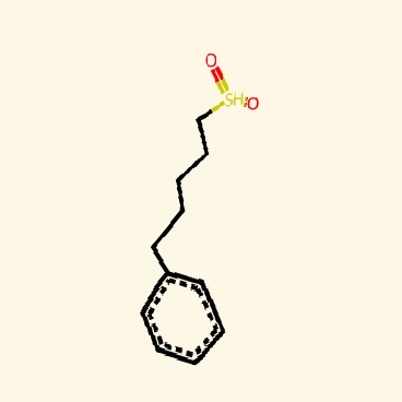 O=[SH](=O)CCCCCc1ccccc1